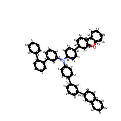 c1ccc(-c2ccccc2-c2cccc(N(c3ccc(-c4cccc(-c5ccc6ccccc6c5)c4)cc3)c3ccc(-c4ccc5c(c4)oc4ccccc45)cc3)c2)cc1